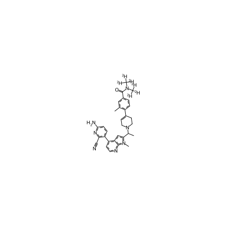 [2H]C([2H])([2H])N(C(=O)c1ccc(C2=CCN(C(C)c3cc4c(-c5ccc(N)nc5C#N)ccnc4n3C)CC2)c(C)c1)C([2H])([2H])[2H]